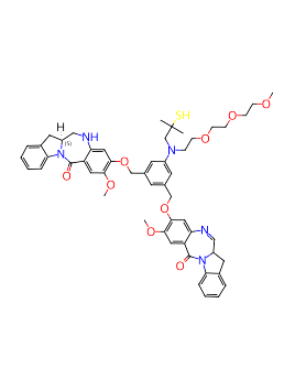 COCCOCCOCCN(CC(C)(C)S)c1cc(COc2cc3c(cc2OC)C(=O)N2c4ccccc4CC2C=N3)cc(COc2cc3c(cc2OC)C(=O)N2c4ccccc4C[C@H]2CN3)c1